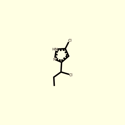 CCC(Cl)c1cc(Cl)[nH]n1